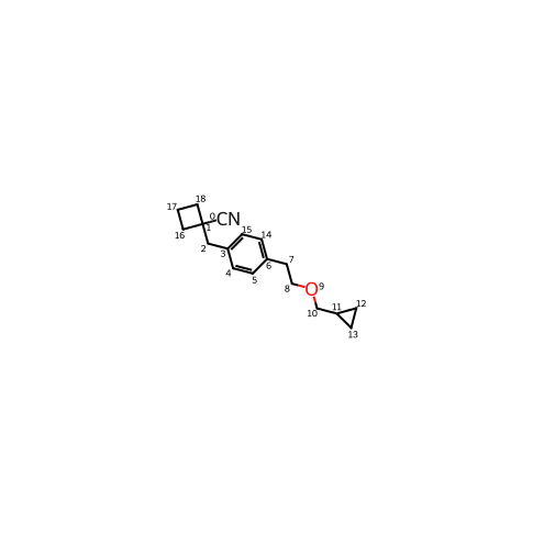 N#CC1(Cc2ccc(CCOCC3CC3)cc2)CCC1